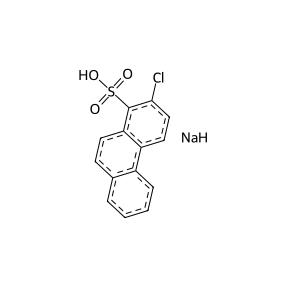 O=S(=O)(O)c1c(Cl)ccc2c1ccc1ccccc12.[NaH]